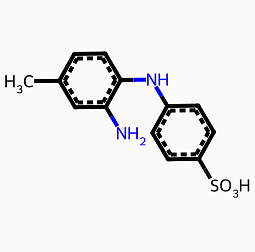 Cc1ccc(Nc2ccc(S(=O)(=O)O)cc2)c(N)c1